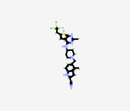 Cc1nc(NC2CCN(Cc3ccc4[nH]c(C#N)cc4c3C)CC2)c2cc(CC(F)(F)F)sc2n1